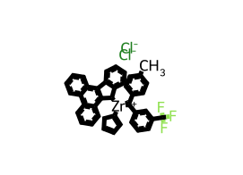 Cc1ccc(/[C](c2cccc(C(F)(F)F)c2)=[Zr+2](/[C]2=CC=CC2)[CH]2c3ccccc3-c3c2c2ccccc2c2ccccc32)cc1.[Cl-].[Cl-]